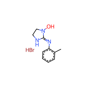 Br.Cc1ccccc1N=C1NCCN1O